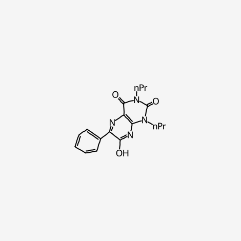 CCCn1c(=O)c2nc(-c3ccccc3)c(O)nc2n(CCC)c1=O